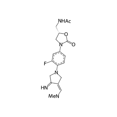 CN/C=C1/CN(c2ccc(N3C[C@H](CNC(C)=O)OC3=O)cc2F)CC1=N